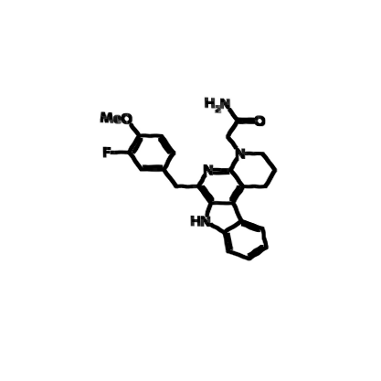 COc1ccc(Cc2nc3c(c4c2[nH]c2ccccc24)CCCN3CC(N)=O)cc1F